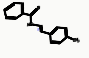 Cc1ccc(/C=C/NC(=O)c2ccccc2)cc1